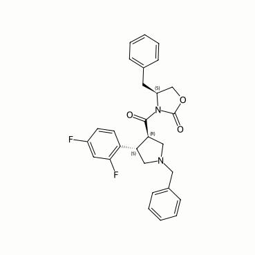 O=C1OC[C@H](Cc2ccccc2)N1C(=O)[C@H]1CN(Cc2ccccc2)C[C@@H]1c1ccc(F)cc1F